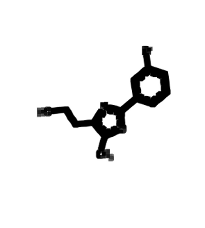 Cc1oc(-c2cccc(Br)c2)nc1CCO